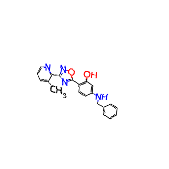 Cc1cccnc1-c1noc(-c2ccc(NCc3ccccc3)cc2O)n1